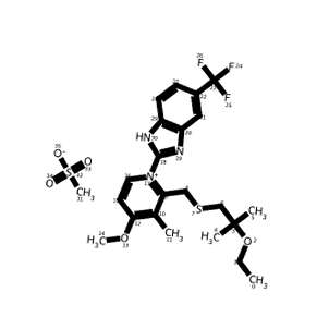 CCOC(C)(C)CSCc1c(C)c(OC)cc[n+]1-c1nc2cc(C(F)(F)F)ccc2[nH]1.CS(=O)(=O)[O-]